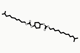 CC(C)CCCCCCCCCCOC(=O)OC1CCC(OC(=O)OCCCCCCCCC(C)C)CC1